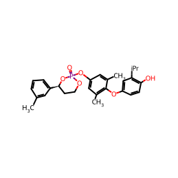 Cc1cccc([C@@H]2CCOP(=O)(Oc3cc(C)c(Oc4ccc(O)c(C(C)C)c4)c(C)c3)O2)c1